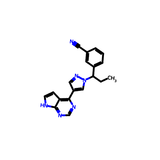 CCC(c1cccc(C#N)c1)n1cc(-c2ncnc3[nH]ccc23)cn1